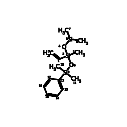 C=C[Si](C)(O[Si](C)C)O[Si](C)(C)c1cc[c]cc1